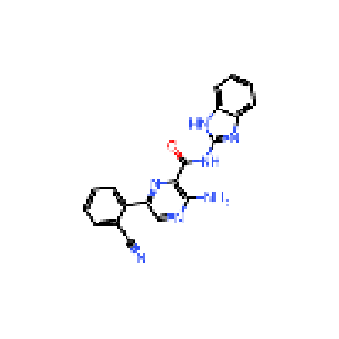 N#Cc1ccccc1-c1cnc(N)c(C(=O)Nc2nc3ccccc3[nH]2)n1